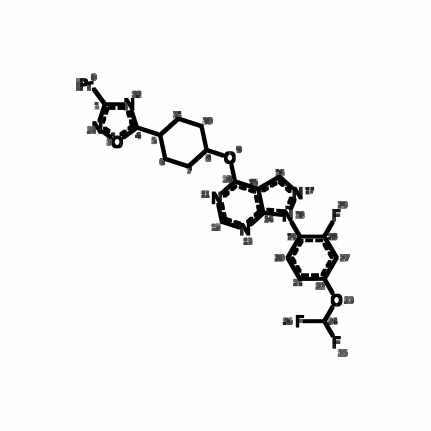 CC(C)c1noc(C2CCC(Oc3ncnc4c3cnn4-c3ccc(OC(F)F)cc3F)CC2)n1